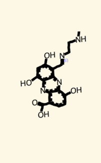 CNCC/N=C/c1c(O)cc(O)c2nc3c(C(=O)O)ccc(O)c3nc12